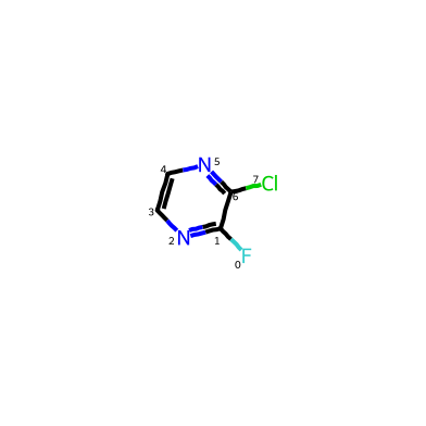 Fc1nccnc1Cl